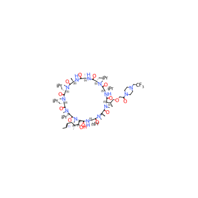 C/C=C/C[C@@H](C)[C@@H](O)[C@H]1C(=O)N[C@@H](CCC)C(=O)N(C)[C@H](C)C(=O)N(C)[C@@H]([C@H](C)COCC(=O)N2CCN(CC(F)(F)F)CC2)C(=O)N[C@@H](C(C)C)C(=O)N(C)[C@@H](CC(C)C)C(=O)N[C@@H](C)C(=O)N[C@H](C)C(=O)N(C)[C@@H](CC(C)C)C(=O)N(C)[C@@H](CC(C)C)C(=O)N(C)[C@@H](C(C)C)C(=O)N1C